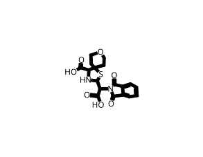 O=C(O)C(C1NC(C(=O)O)C2(CCOCC2)S1)N1C(=O)c2ccccc2C1=O